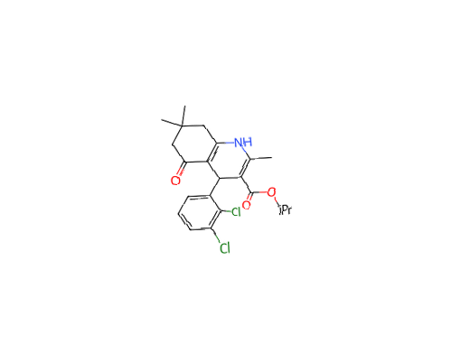 CC1=C(C(=O)OC(C)C)C(c2cccc(Cl)c2Cl)C2=C(CC(C)(C)CC2=O)N1